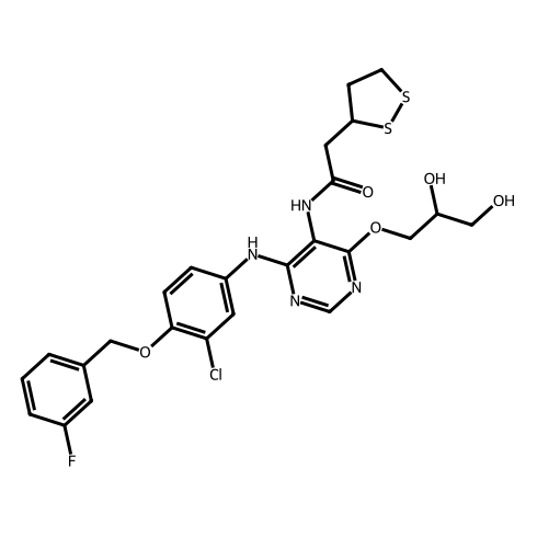 O=C(CC1CCSS1)Nc1c(Nc2ccc(OCc3cccc(F)c3)c(Cl)c2)ncnc1OCC(O)CO